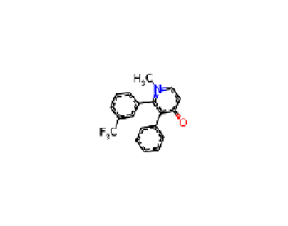 Cn1ccc(=O)c(-c2ccccc2)c1-c1cccc(C(F)(F)F)c1